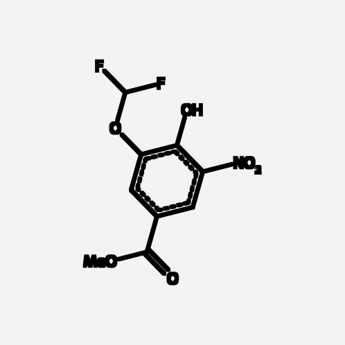 COC(=O)c1cc(OC(F)F)c(O)c([N+](=O)[O-])c1